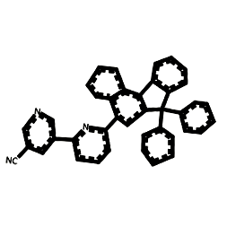 N#Cc1cncc(-c2cccc(-c3cc4c(c5ccccc35)-c3ccccc3C4(c3ccccc3)c3ccccc3)n2)c1